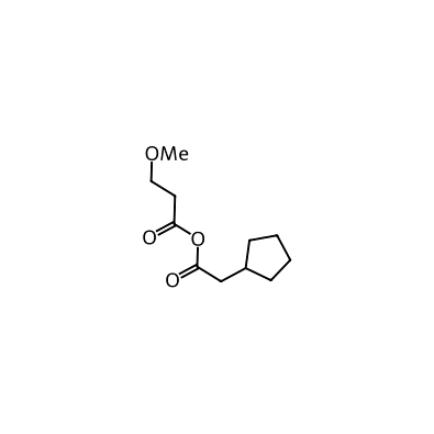 COCCC(=O)OC(=O)CC1CCCC1